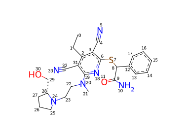 CCc1c(C#N)c(SC(C(N)=O)c2ccccc2)nc(N(C)CCN2CCC[C@@H]2CO)c1C#N